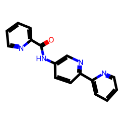 O=C(Nc1ccc(-c2ccccn2)nc1)c1ccccn1